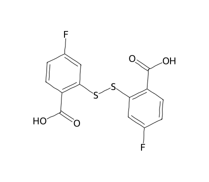 O=C(O)c1ccc(F)cc1SSc1cc(F)ccc1C(=O)O